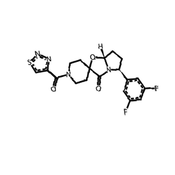 O=C(c1csnn1)N1CCC2(CC1)O[C@@H]1CC[C@@H](c3cc(F)cc(F)c3)N1C2=O